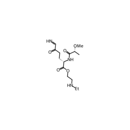 CCNCCOC(=O)[C@H](CCC(=O)C=N)NC(=O)[C@@H](C)OC